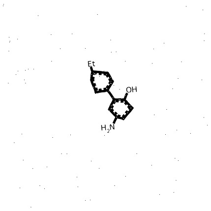 CCc1ccc(-c2cc(N)ccc2O)cc1